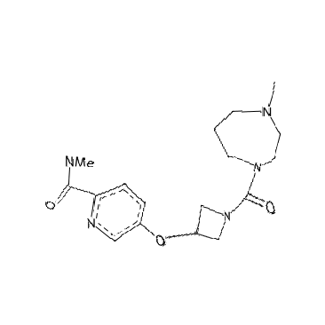 CNC(=O)c1ccc(OC2CN(C(=O)N3CCCN(C)CC3)C2)cn1